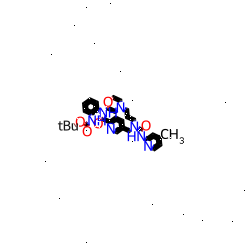 Cc1ccnc(NC(=O)N(CCCN2CCOCC2)Cc2ccc(C(=O)Nc3ccccc3NC(=O)OC(C)(C)C)nc2)c1